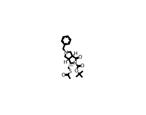 CC(=O)SC[C@@H]1[C@H]2CN(Cc3ccccc3)C[C@H]2C(=O)N1C(=O)OC(C)(C)C